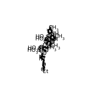 CCOCCOCCn1cc(CO[C@@H]2OC(C)[C@@H](O[C@H]3O[C@H](C)[C@@H](O[C@H]4O[C@H](C)[C@@H](N[C@H]5C=C(C)CC[C@H]5OS(=O)(=O)O)C[C@H]4OS(=O)(=O)O)C[C@H]3OS(=O)(=O)O)[C@H](OS(=O)(=O)O)[C@H]2OS(=O)(=O)O)nn1